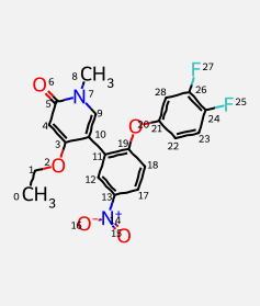 CCOc1cc(=O)n(C)cc1-c1cc([N+](=O)[O-])ccc1Oc1ccc(F)c(F)c1